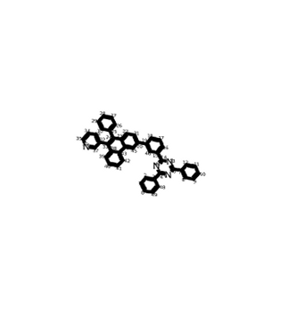 c1ccc(-c2nc(-c3ccccc3)nc(-c3cccc(-c4ccc5c(-c6ccccc6)c(-c6cccnc6)c6ccccc6c5c4)c3)n2)cc1